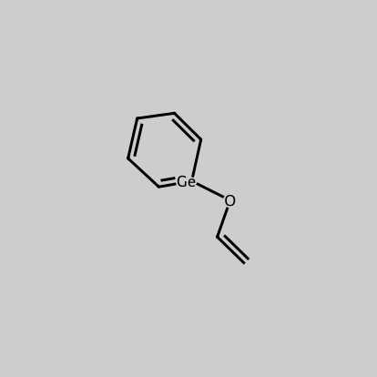 C=C[O][Ge]1=[CH]C=CC=[CH]1